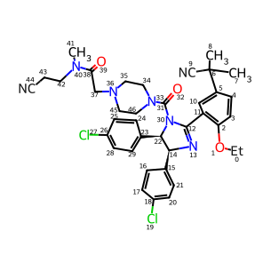 CCOc1ccc(C(C)(C)C#N)cc1C1=N[C@@H](c2ccc(Cl)cc2)[C@@H](c2ccc(Cl)cc2)N1C(=O)N1CCN(CC(=O)N(C)CCC#N)CC1